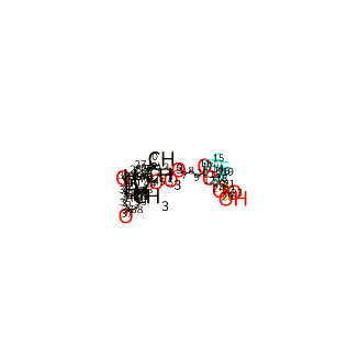 C[C@H](CCC(=O)OCCCC(=O)OC(C(F)(F)F)C(F)(F)CS(=O)(=O)O)[C@H]1CC[C@H]2[C@@H]3C(=O)CC4CC(=O)CC[C@]4(C)[C@H]3CC(=O)[C@]12C